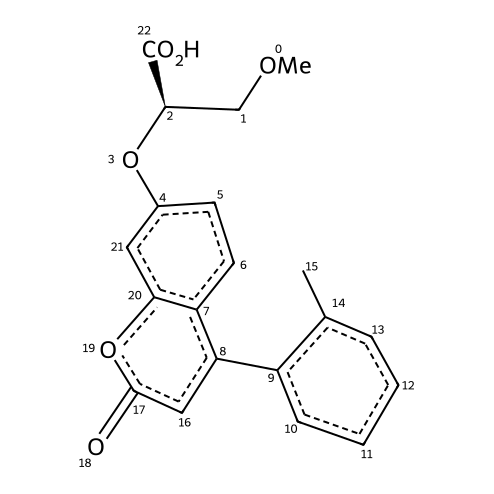 COC[C@@H](Oc1ccc2c(-c3ccccc3C)cc(=O)oc2c1)C(=O)O